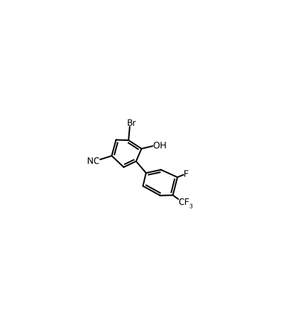 N#Cc1cc(Br)c(O)c(-c2ccc(C(F)(F)F)c(F)c2)c1